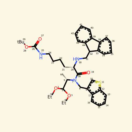 CCOC(OCC)[C@H](C)N(Cc1csc2ccccc12)C(=O)[C@H](CCCCNC(=O)OC(C)(C)C)NCC1c2ccccc2-c2ccccc21